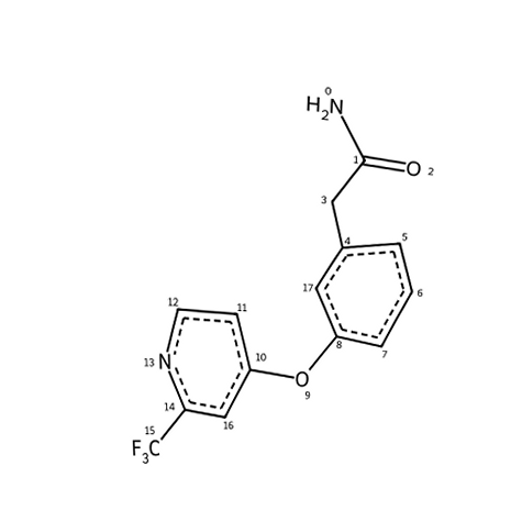 NC(=O)Cc1cccc(Oc2ccnc(C(F)(F)F)c2)c1